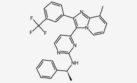 Cc1cccn2c(-c3ccnc(N[C@@H](C)c4ccccc4)n3)c(-c3cccc(C(F)(F)F)c3)nc12